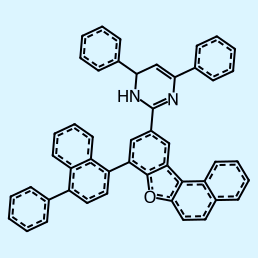 C1=C(c2ccccc2)N=C(c2cc(-c3ccc(-c4ccccc4)c4ccccc34)c3oc4ccc5ccccc5c4c3c2)NC1c1ccccc1